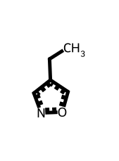 CCc1cnoc1